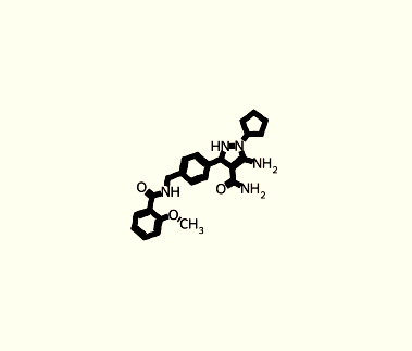 COc1ccccc1C(=O)NCc1ccc(C2NN(C3CCCC3)C(N)=C2C(N)=O)cc1